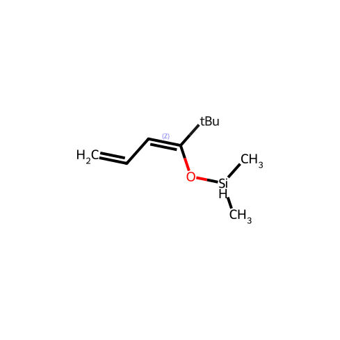 C=C/C=C(\O[SiH](C)C)C(C)(C)C